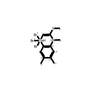 CSC1=C[TeH](Br)(Br)(Br)c2cc(C)c(C)cc2N1C